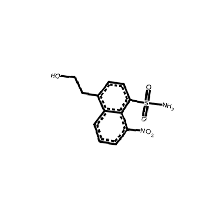 NS(=O)(=O)c1ccc(CCO)c2cccc([N+](=O)[O-])c12